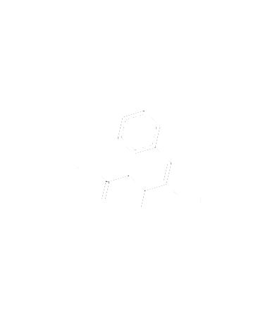 CCCCCCCCC(=O)CC(C(=O)O)C(=Cc1ccccc1)C(=O)O